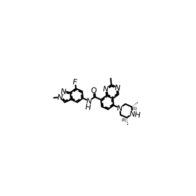 Cc1ncc2c(N3C[C@@H](C)N[C@@H](C)C3)ccc(C(=O)Nc3cc(F)c4nn(C)cc4c3)c2n1